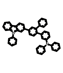 c1ccc(-c2cc(-c3ccc4c5ccccc5n(-c5ccccc5)c4c3)ccc2-c2cccc(N(c3ccccc3)c3ccccc3)c2)cc1